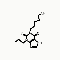 CCCn1c(=O)n(CCCCCO)c(=O)c2[nH]cnc21